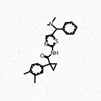 Cc1ccc(C2(C(=O)Nc3ncc(C(c4ccccc4)N(C)C)s3)CC2)cc1C